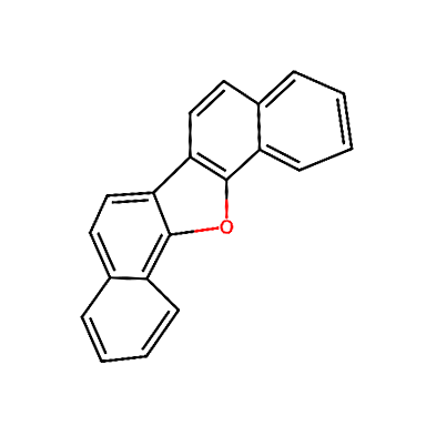 c1ccc2c(c1)ccc1c3ccc4ccccc4c3oc21